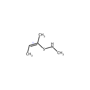 C/C=C(/C)SNC